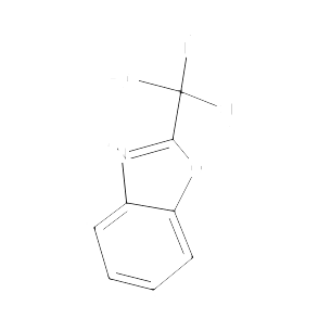 FC(F)(F)C(F)(c1nc2ccccc2o1)C(F)(F)F